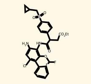 CCOC(=O)CC(C(=O)Nc1c(N)cc(Cl)c(-c2ccccc2)c1OC(F)F)c1ccc(S(=O)(=O)CC2CC2)cc1